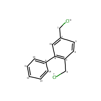 ClCc1ccc(CCl)c(-c2ccccc2)c1